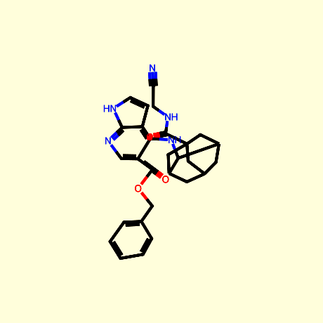 N#CCNC(=O)C12CC3CC(C1)C(Nc1c(C(=O)OCc4ccccc4)cnc4[nH]ccc14)C(C3)C2